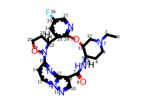 CCN1CC[C@H]2NC(=O)c3cnn4ccc(nc34)N3OCC[C@@H]3c3cc(F)cnc3OC2C1